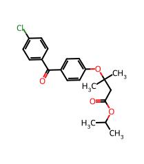 CC(C)OC(=O)CC(C)(C)Oc1ccc(C(=O)c2ccc(Cl)cc2)cc1